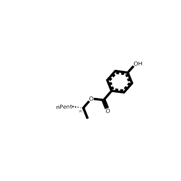 CCCCC[C@@H](C)OC(=O)c1ccc(O)cc1